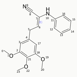 COc1cc(C/C=C(\C#N)Nc2ccccc2)cc(OC)c1OC